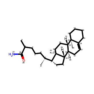 CC(CCC[C@@H](C)[C@H]1CC[C@H]2[C@@H]3CC=C4CCCC[C@]4(C)[C@H]3CC[C@]12C)C(N)=O